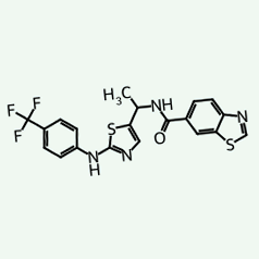 CC(NC(=O)c1ccc2ncsc2c1)c1cnc(Nc2ccc(C(F)(F)F)cc2)s1